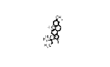 C=C1C=C2CCC3C(=CC[C@@]4(C)C3C[C@@H](I)[C@@H]4C(=C)CC)[C@@]2(C)CC1